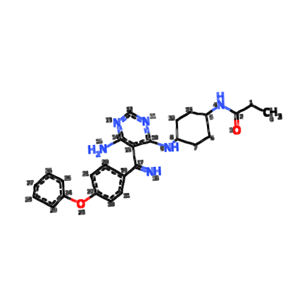 CCC(=O)NC1CCC(Nc2ncnc(N)c2C(=N)c2ccc(Oc3ccccc3)cc2)CC1